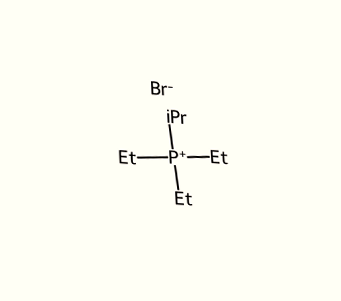 CC[P+](CC)(CC)C(C)C.[Br-]